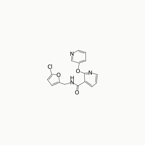 O=C(NCc1ccc(Cl)o1)c1cccnc1Oc1cccnc1